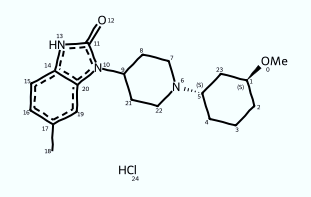 CO[C@H]1CCC[C@H](N2CCC(n3c(=O)[nH]c4ccc(C)cc43)CC2)C1.Cl